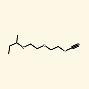 CCC(C)OCCOCCSC#N